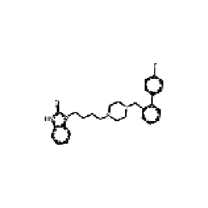 O=c1[nH]c2ccccc2n1CCCCN1CCN(Cc2ccccc2-c2ccc(F)cc2)CC1